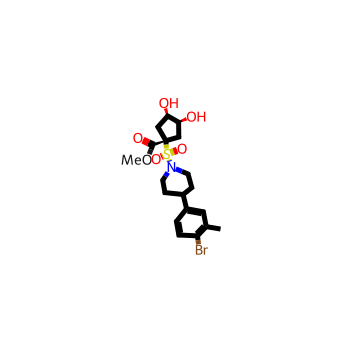 COC(=O)[C@@]1(S(=O)(=O)N2CCC(c3ccc(Br)c(C)c3)CC2)C[C@@H](O)[C@@H](O)C1